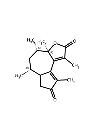 CC1=C2C3=C(C)C(=O)O[C@]3(C)[C@@H](C)C[C@@H](C)C2CC1=O